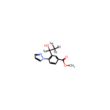 [2H]C([2H])([2H])C([2H])(O)c1cc(C(=O)OC)ccc1-n1cccn1